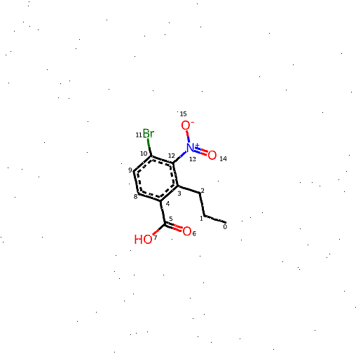 CCCc1c(C(=O)O)ccc(Br)c1[N+](=O)[O-]